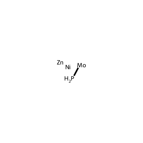 [Ni].[PH2][Mo].[Zn]